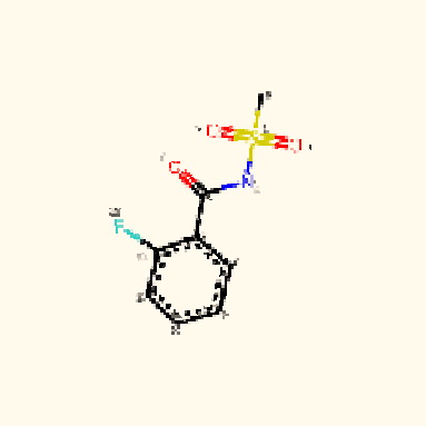 CS(=O)(=O)[N]C(=O)c1ccccc1F